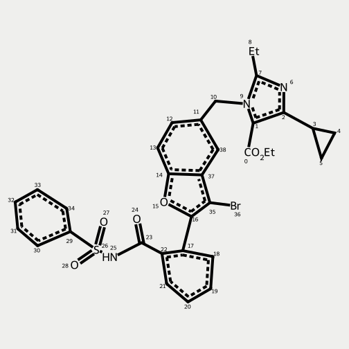 CCOC(=O)c1c(C2CC2)nc(CC)n1Cc1ccc2oc(-c3ccccc3C(=O)NS(=O)(=O)c3ccccc3)c(Br)c2c1